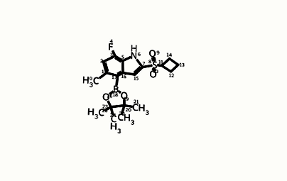 Cc1cc(F)c2[nH]c(S(=O)(=O)C3CCC3)cc2c1B1OC(C)(C)C(C)(C)O1